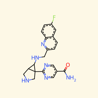 NC(=O)c1cnc(C23CNCC2C3NCc2ccc3cc(F)ccc3n2)nc1